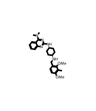 COc1ccc(CN[C@H]2CC[C@@H](Nc3nc(N(C)C)c4ccccc4n3)CC2)c(OC)c1C